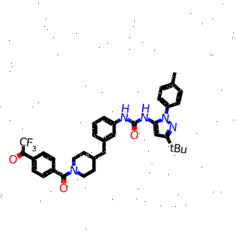 Cc1ccc(-n2nc(C(C)(C)C)cc2NC(=O)Nc2cccc(CC3CCN(C(=O)c4ccc(C(=O)C(F)(F)F)cc4)CC3)c2)cc1